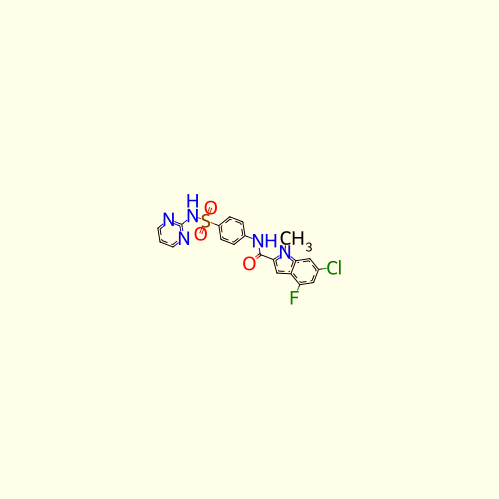 Cn1c(C(=O)Nc2ccc(S(=O)(=O)Nc3ncccn3)cc2)cc2c(F)cc(Cl)cc21